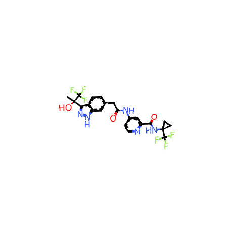 CC(O)(c1n[nH]c2cc(CC(=O)Nc3ccnc(C(=O)NC4(C(F)(F)F)CC4)c3)ccc12)C(F)(F)F